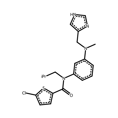 CC(C)CN(C(=O)c1ccc(Cl)s1)c1cccc(N(C)Cc2c[nH]cn2)c1